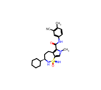 Cc1ccc(NC(=O)c2c3c(cn2C)S(=N)(=O)N[C@@H](C2CCCCC2)CC3)cc1C#N